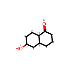 O=C1CCCC2CC(O)CCC12